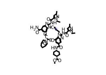 CCn1nc(C)cc1C(=O)Nc1nc2cc(C(N)=O)cc3c2n1C/C=C/Cn1c(NC(=O)c2cc(C)nn2CC)nc2cc(C(=O)N[C@H]4CC[C@H](C(=O)OC)CC4)cc(c21)OCC(N1CC2CCC(C1)O2)CO3